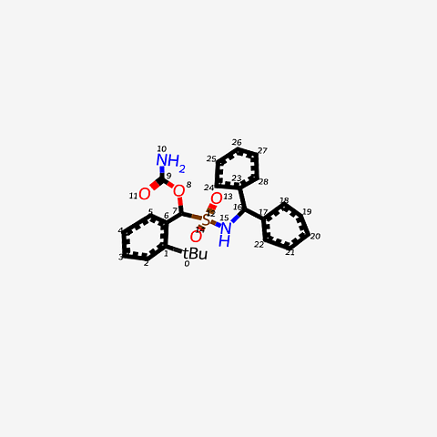 CC(C)(C)c1ccccc1C(OC(N)=O)S(=O)(=O)NC(c1ccccc1)c1ccccc1